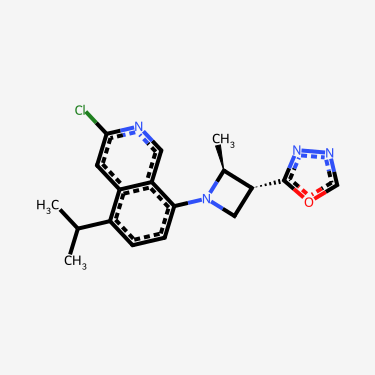 CC(C)c1ccc(N2C[C@@H](c3nnco3)[C@@H]2C)c2cnc(Cl)cc12